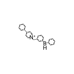 B(c1ccccc1)c1cccc(C[n+]2ccc(-c3ccccc3)cc2)c1